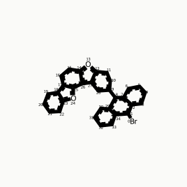 Brc1c2ccccc2c(-c2ccc3oc4ccc5c6ccccc6oc5c4c3c2)c2ccccc12